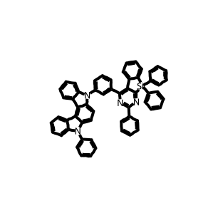 c1ccc(-c2nc(-c3cccc(-n4c5ccccc5c5c6c7ccccc7n(-c7ccccc7)c6ccc54)c3)c3c(n2)[Si](c2ccccc2)(c2ccccc2)c2ccccc2-3)cc1